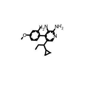 CCC(c1cnc(N)c(N)c1-c1ccc(OC)cc1C)C1CC1